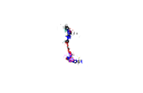 Cc1ncsc1-c1ccc(CNC(=O)[C@@H]2C[C@@H](O)CN2C(=O)[C@@H](NC(=O)COCCCCOc2ccc(-c3ncc(N4C(=S)N(c5ccc(C#N)c(C(F)(F)F)c5F)C(=O)C4(C)C)cn3)cc2F)C(C)(C)C)cc1